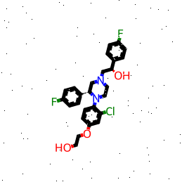 OCCOc1ccc(N2CCN(C[C@H](O)c3ccc(F)cc3)C[C@H]2c2ccc(F)cc2)c(Cl)c1